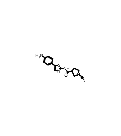 N#CN1CCC(C(=O)Nc2ncc(-c3ccc(N)cc3)s2)C1